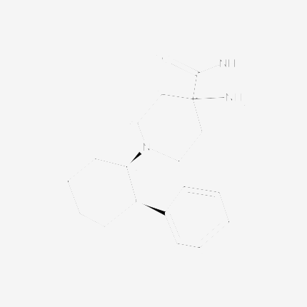 NC(=O)C1(N)CCN([C@@H]2CCCC[C@@H]2c2ccccc2)CC1